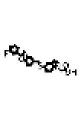 O=C(O)Cn1ccc2cc(SCc3ccc4oc(-c5cccc(F)c5)nc4c3)ccc21